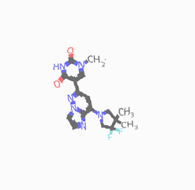 [CH2]n1cc(-c2cc(N3CC(C)(C)C(F)(F)C3)c3nccn3n2)c(=O)[nH]c1=O